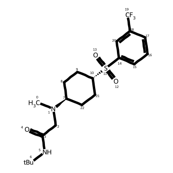 CN(CC(=O)NC(C)(C)C)[C@H]1CC[C@H](S(=O)(=O)c2cccc(C(F)(F)F)c2)CC1